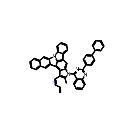 C=C/C=C\c1c(C)n(-c2nc(-c3ccc(-c4ccccc4)cc3)nc3ccccc23)c2cc3c4ccccc4n4c5cc6ccccc6cc5c(c12)c34